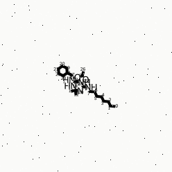 CCCCCCCCNC1=NC(C)(C)NC(NCC2CCCCC2)(OC(C)=O)N1